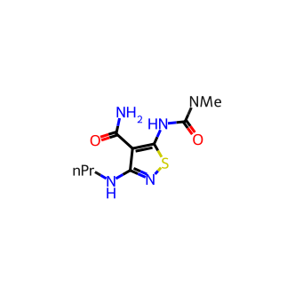 CCCNc1nsc(NC(=O)NC)c1C(N)=O